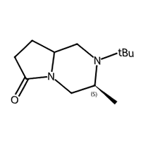 C[C@H]1CN2C(=O)CCC2CN1C(C)(C)C